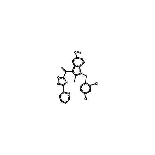 COc1ccc2c(c1)c(C(=O)c1nc(-c3cnccn3)no1)c(C)n2Cc1ccc(Cl)cc1Cl